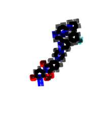 O=C1CCC(N2C(=O)c3ccc(N4CCN(c5cccc(-c6cnc7ccc(N8CCC[C@@H]8c8cccc(F)c8)nn67)n5)CC4)cc3C2=O)C(=O)N1